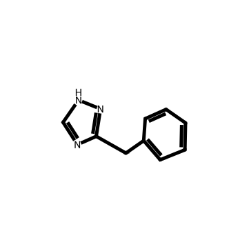 [CH](c1ccccc1)c1nc[nH]n1